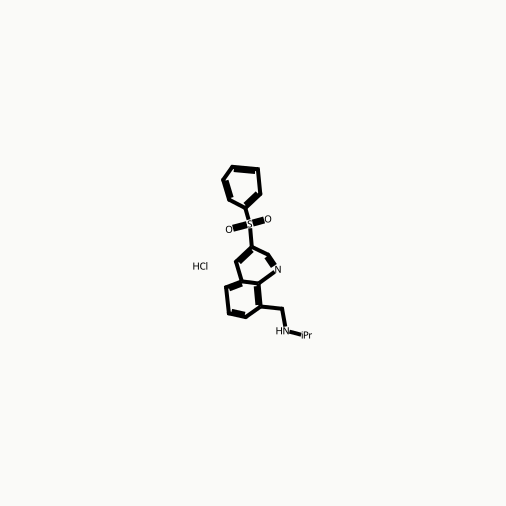 CC(C)NCc1cccc2cc(S(=O)(=O)c3ccccc3)cnc12.Cl